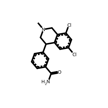 CN1Cc2c(Cl)cc(Cl)cc2C(c2cccc(C(N)=O)c2)C1